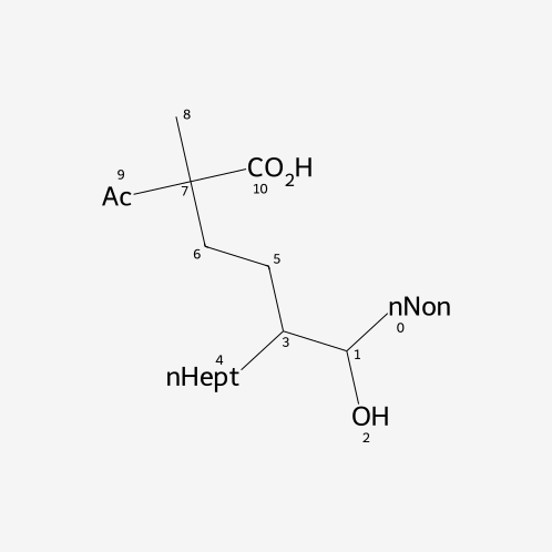 CCCCCCCCCC(O)C(CCCCCCC)CCC(C)(C(C)=O)C(=O)O